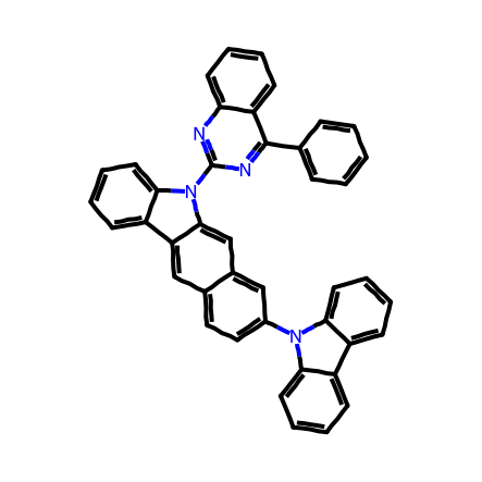 c1ccc(-c2nc(-n3c4ccccc4c4cc5ccc(-n6c7ccccc7c7ccccc76)cc5cc43)nc3ccccc23)cc1